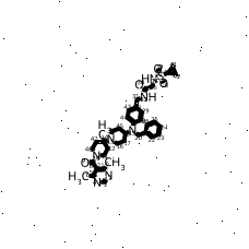 Cc1ncnc(C)c1C(=O)N1CCC(C)(N2CCC(N(Cc3ccccc3)c3ccc(CNC(=O)CNS(=O)(=O)C4CC4)cc3)CC2)CC1